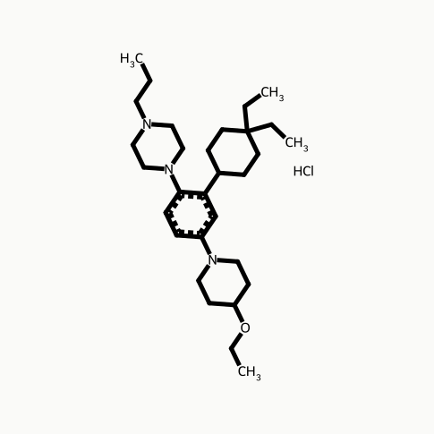 CCCN1CCN(c2ccc(N3CCC(OCC)CC3)cc2C2CCC(CC)(CC)CC2)CC1.Cl